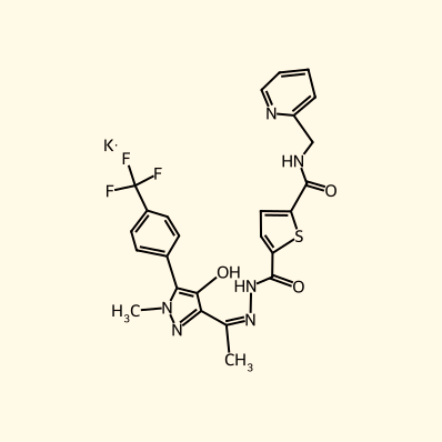 CC(=NNC(=O)c1ccc(C(=O)NCc2ccccn2)s1)c1nn(C)c(-c2ccc(C(F)(F)F)cc2)c1O.[K]